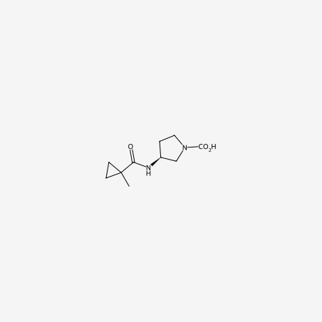 CC1(C(=O)N[C@H]2CCN(C(=O)O)C2)CC1